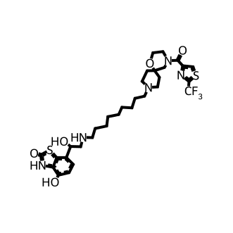 O=C(c1csc(C(F)(F)F)n1)N1CCOC2(CCN(CCCCCCCCCNCC(O)c3ccc(O)c4[nH]c(=O)sc34)CC2)C1